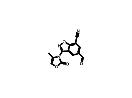 Cc1coc(=O)n1-c1noc2c(C#N)cc(C=O)cc12